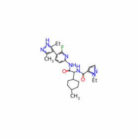 CCc1[nH]nc(C)c1-c1ccc(NC(=O)C(NC(=O)c2ccnn2CC)C2CCC(C)CC2)nc1F